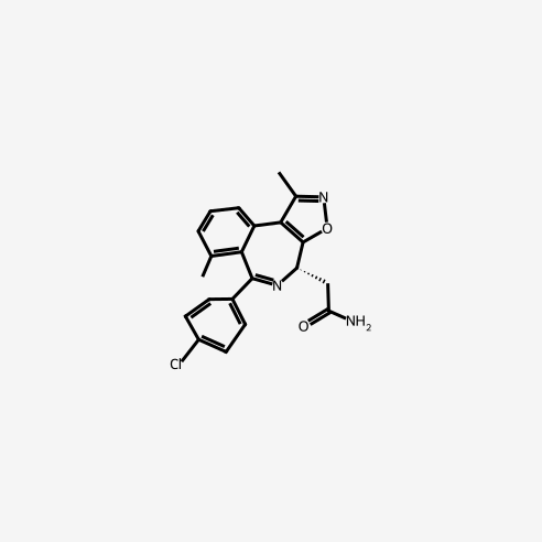 Cc1cccc2c1C(c1ccc(Cl)cc1)=N[C@@H](CC(N)=O)c1onc(C)c1-2